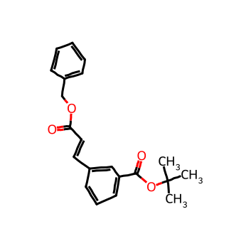 CC(C)(C)OC(=O)c1cccc(C=CC(=O)OCc2ccccc2)c1